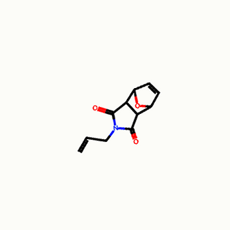 C=CCN1C(=O)C2C3C=CC(O3)C2C1=O